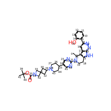 C[C@H]1c2c([nH]c3nnc(-c4ccccc4O)cc23)CCN1c1ncc(C2CCN(C3CC4(C3)CN(C(=O)OC(C)(C)C)C4)CC2)cn1